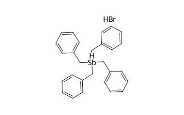 Br.c1ccc([CH2][SbH]([CH2]c2ccccc2)([CH2]c2ccccc2)[CH2]c2ccccc2)cc1